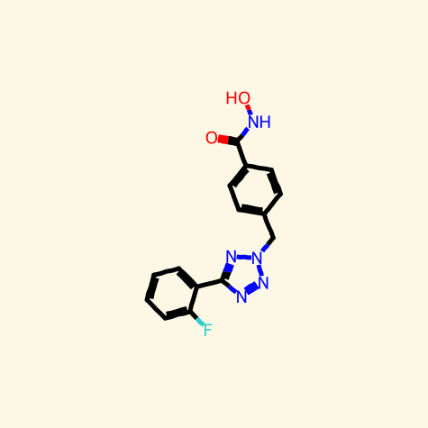 O=C(NO)c1ccc(Cn2nnc(-c3ccccc3F)n2)cc1